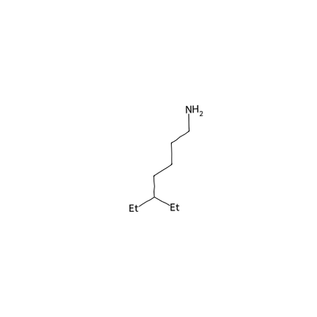 CCC(CC)CCCCN